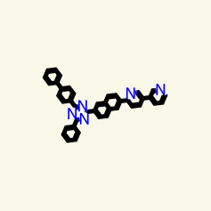 c1ccc(-c2ccc(-c3nc(-c4ccccc4)nc(-c4ccc5cc(-c6ccc(-c7cccnc7)cn6)ccc5c4)n3)cc2)cc1